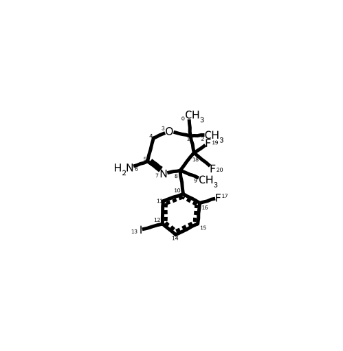 CC1(C)OCC(N)=NC(C)(c2cc(I)ccc2F)C1(F)F